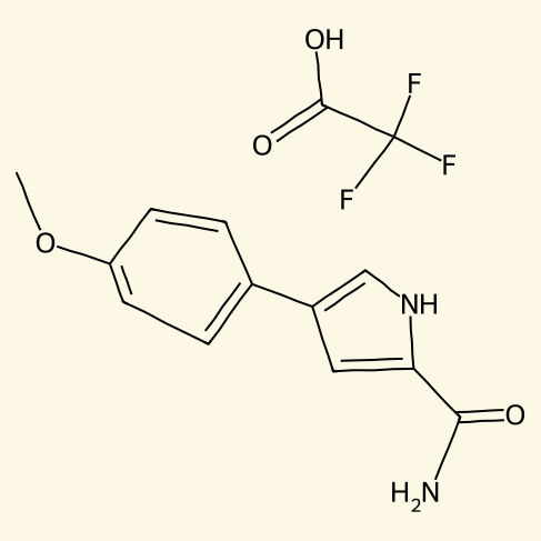 COc1ccc(-c2c[nH]c(C(N)=O)c2)cc1.O=C(O)C(F)(F)F